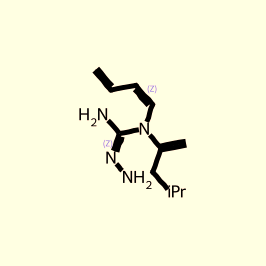 C=C/C=C\N(C(=C)CC(C)C)/C(N)=N\N